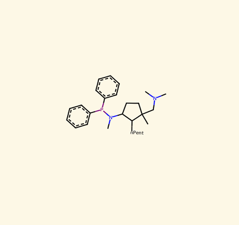 CCCCCC1C(N(C)P(c2ccccc2)c2ccccc2)CCC1(C)CN(C)C